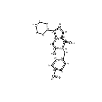 CCc1cn2c(C3CCOCC3)ncc2c(=O)n1Cc1ccc(OC)cc1